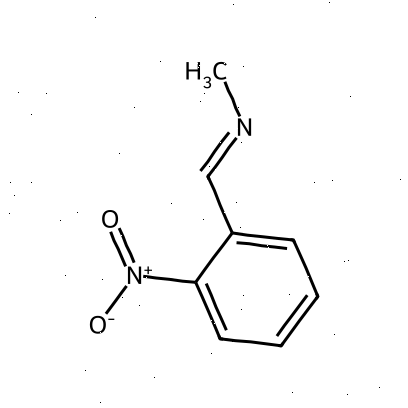 CN=Cc1ccccc1[N+](=O)[O-]